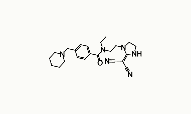 CCN(CCN1CCNC1=C(C#N)C#N)C(=O)c1ccc(CN2CCCCC2)cc1